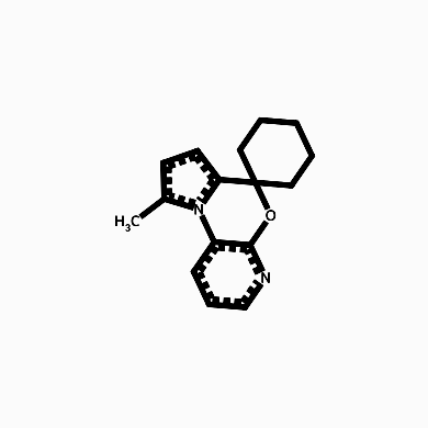 Cc1ccc2n1-c1cccnc1OC21CCCCC1